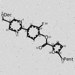 CCCCCCCCCCCc1cnc(-c2ccc(OC(=O)c3ccc(CCCCC)o3)c(F)c2)nc1